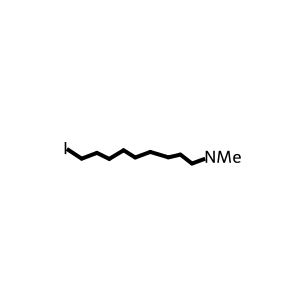 CNCCCCCCCCCI